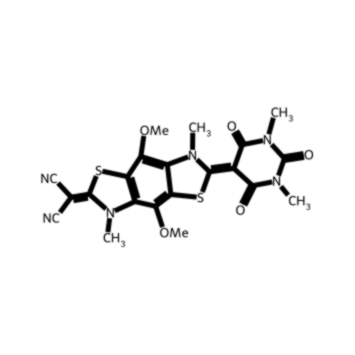 COc1c2c(c(OC)c3c1N(C)C(=C(C#N)C#N)S3)N(C)C(=C1C(=O)N(C)C(=O)N(C)C1=O)S2